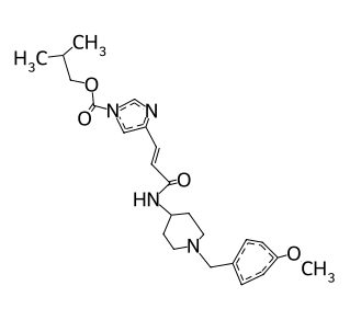 COc1ccc(CN2CCC(NC(=O)C=Cc3cn(C(=O)OCC(C)C)cn3)CC2)cc1